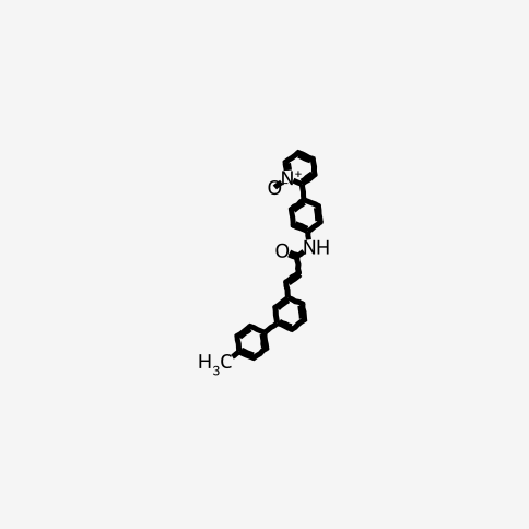 Cc1ccc(-c2cccc(/C=C/C(=O)Nc3ccc(-c4cccc[n+]4[O-])cc3)c2)cc1